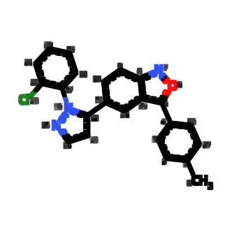 Cc1ccc(-c2onc3ccc(-c4ccnn4-c4ccccc4Cl)cc23)cc1